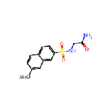 COc1ccc2ccc(S(=O)(=O)NCC(N)=O)cc2c1